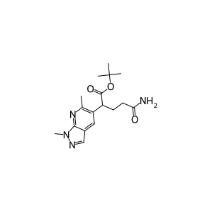 Cc1nc2c(cnn2C)cc1C(CCC(N)=O)C(=O)OC(C)(C)C